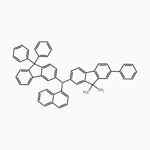 CC1(C)c2cc(-c3ccccc3)ccc2-c2ccc(N(c3ccc4c(c3)-c3ccccc3C4(c3ccccc3)c3ccccc3)c3cccc4ccccc34)cc21